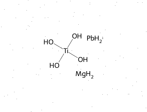 [MgH2].[OH][Ti]([OH])([OH])[OH].[PbH2]